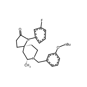 CCCCOc1cccc(CN2CC[C@@]3(CCC(=O)N3c3cccc(F)c3)C[C@H]2C)c1